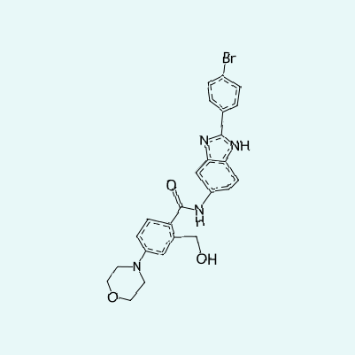 O=C(Nc1ccc2[nH]c(-c3ccc(Br)cc3)nc2c1)c1ccc(N2CCOCC2)cc1CO